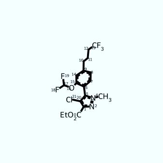 CCOC(=O)c1nn(C)c(-c2ccc(CCCC(F)(F)F)cc2OC(F)F)c1Cl